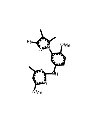 CCc1nn(-c2cc(Nc3nc(C)cc(NC)n3)ccc2OC)c(C)c1C